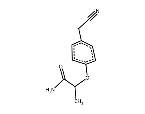 CC(Oc1ccc([CH]C#N)cc1)C(N)=O